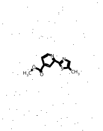 COC(=O)c1ccnc(-c2ncc(C)s2)c1